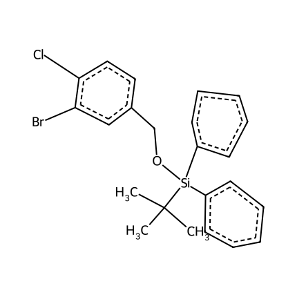 CC(C)(C)[Si](OCc1ccc(Cl)c(Br)c1)(c1ccccc1)c1ccccc1